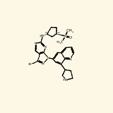 CP(C)(=O)[C@@H]1CC[C@@H](Nc2ncc3c(Br)nn(-c4cc(C5CCNC5)c5ncccc5c4)c3n2)C1